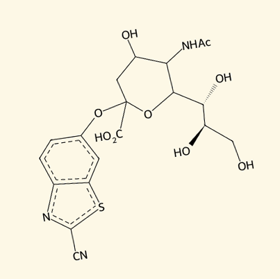 CC(=O)NC1C(O)CC(Oc2ccc3nc(C#N)sc3c2)(C(=O)O)OC1[C@H](O)[C@H](O)CO